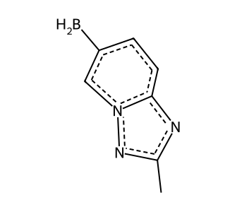 Bc1ccc2nc(C)nn2c1